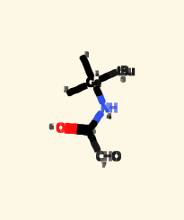 C[C](C)(C)[Ge]([CH3])([CH3])[NH]C(=O)C=O